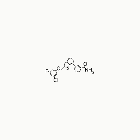 NC(=O)c1cccc(-c2cccc3cc(COc4cc(F)cc(Cl)c4)sc23)c1